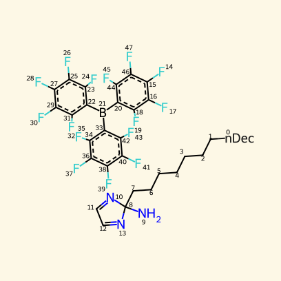 CCCCCCCCCCCCCCCCCC1(N)N=CC=N1.Fc1c(F)c(F)c(B(c2c(F)c(F)c(F)c(F)c2F)c2c(F)c(F)c(F)c(F)c2F)c(F)c1F